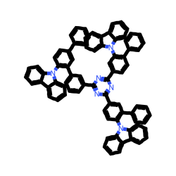 c1ccc(-c2ccc(-n3c4ccccc4c4ccccc43)c(-c3cccc(-c4nc(-c5ccc(-n6c7ccccc7c7ccccc76)c(-c6ccccc6)c5)nc(-c5ccc(-c6ccccc6)c(-n6c7ccccc7c7ccccc76)c5)n4)c3)c2)cc1